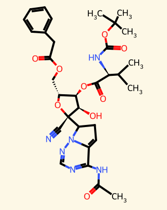 CC(=O)NC1=NC=NN2C1=CCC2[C@]1(C#N)O[C@H](COC(=O)Cc2ccccc2)[C@@H](OC(=O)[C@@H](NC(=O)OC(C)(C)C)C(C)C)[C@H]1O